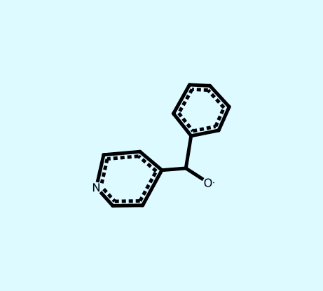 [O]C(c1ccccc1)c1ccncc1